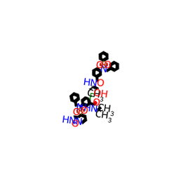 CC(C)NC(=O)c1cc(N(Cc2ccccc2)S(=O)(=O)C2=CC=CN3ONC=C23)ccc1F.CC[C@H](CO)NC(=O)c1cccc(N(Cc2ccccc2)S(=O)(=O)c2ccccc2)c1